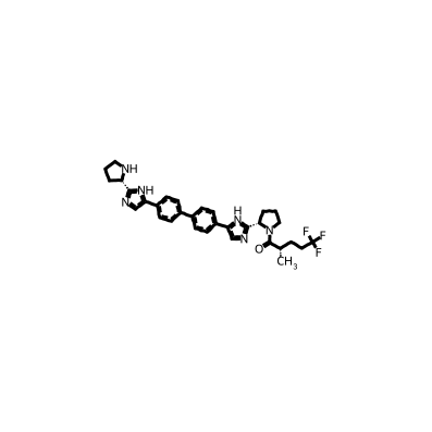 C[C@@H](CCC(F)(F)F)C(=O)N1CCC[C@H]1c1ncc(-c2ccc(-c3ccc(-c4cnc([C@@H]5CCCN5)[nH]4)cc3)cc2)[nH]1